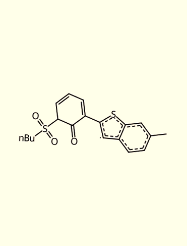 CCCCS(=O)(=O)C1C=CC=C(c2[c]c3ccc(C)cc3s2)C1=O